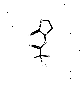 CC(F)(F)C(=O)OC1CCOC1=O